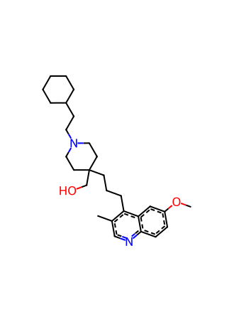 COc1ccc2ncc(C)c(CCCC3(CO)CCN(CCC4CCCCC4)CC3)c2c1